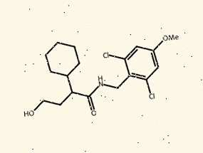 COc1cc(Cl)c(CNC(=O)C(CCO)C2CCCCC2)c(Cl)c1